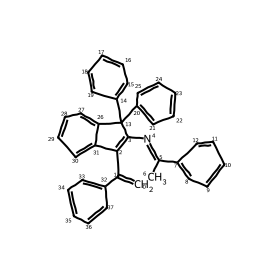 C=C(C1=C(/N=C(\C)c2ccccc2)C(c2ccccc2)(c2ccccc2)c2ccccc21)c1ccccc1